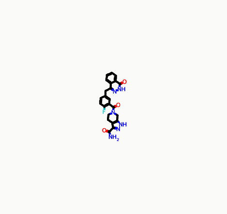 NC(=O)c1n[nH]c2c1CCN(C(=O)c1cc(Cc3n[nH]c(=O)c4ccccc34)ccc1F)C2